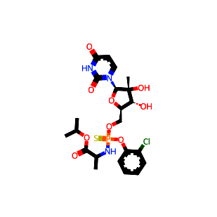 CC(C)OC(=O)C(C)NP(=S)(OC[C@H]1O[C@@H](n2ccc(=O)[nH]c2=O)[C@](C)(O)[C@@H]1O)Oc1ccccc1Cl